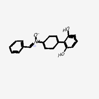 [O-]/[N+](=C\c1ccccc1)C1CCC(c2c(O)cccc2O)CC1